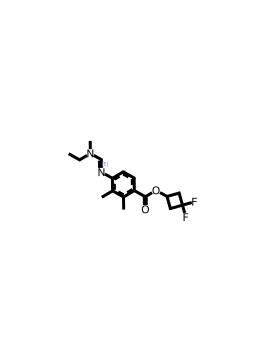 CCN(C)/C=N/c1ccc(C(=O)OC2CC(F)(F)C2)c(C)c1C